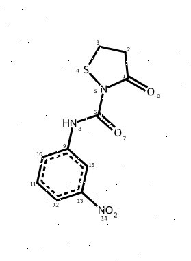 O=C1CCSN1C(=O)Nc1cccc([N+](=O)[O-])c1